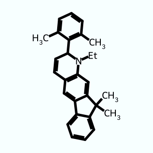 CCN1c2cc3c(cc2C=CC1c1c(C)cccc1C)-c1ccccc1C3(C)C